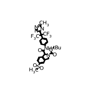 Cn1nnc(C(c2ccc(NC(=O)C3c4ccc(S(C)(=O)=O)cc4CN3C(=O)OC(C)(C)C)cc2)(C(F)(F)F)C(F)(F)F)n1